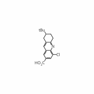 CC(C)(C)C1CCc2nc3c(Cl)cc(C(=O)O)cc3cc2C1